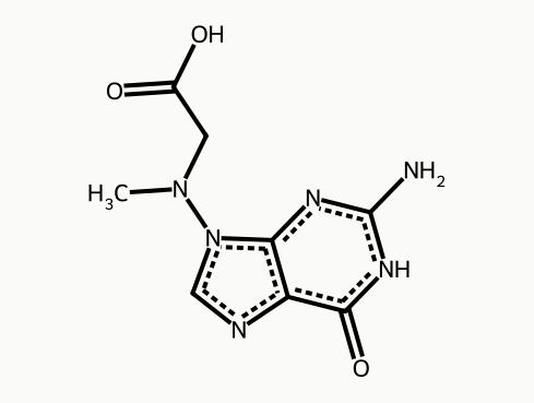 CN(CC(=O)O)n1cnc2c(=O)[nH]c(N)nc21